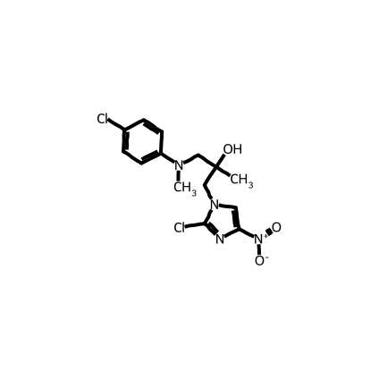 CN(CC(C)(O)Cn1cc([N+](=O)[O-])nc1Cl)c1ccc(Cl)cc1